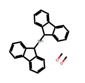 C[O-].C[O-].c1ccc2c(c1)-c1ccccc1[CH]2[Zr+2][CH]1c2ccccc2-c2ccccc21